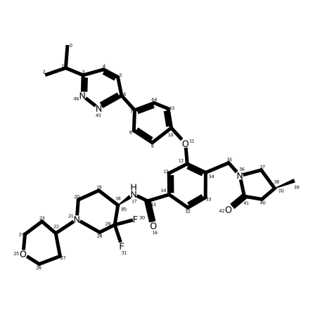 CC(C)c1ccc(-c2ccc(Oc3cc(C(=O)N[C@@H]4CCN(C5CCOCC5)CC4(F)F)ccc3CN3C[C@@H](C)CC3=O)cc2)nn1